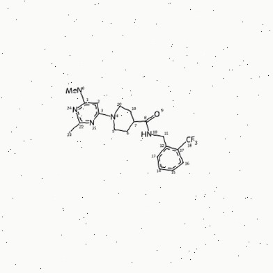 CNc1cc(N2CCC(C(=O)NCc3ccccc3C(F)(F)F)CC2)nc(C)n1